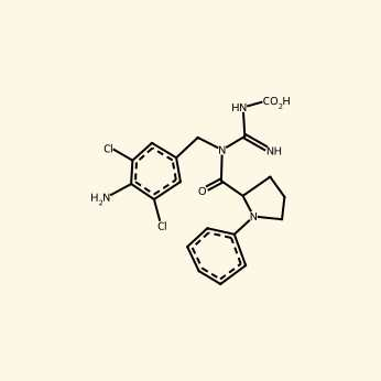 N=C(NC(=O)O)N(Cc1cc(Cl)c(N)c(Cl)c1)C(=O)C1CCCN1c1ccccc1